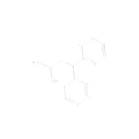 BC(O)CC(c1ccccc1)c1ccccc1